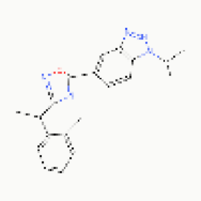 Cc1ccccc1C(C)c1noc(-c2ccc3c(c2)nnn3C(C)C)n1